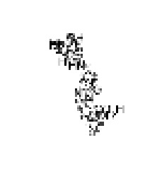 O=C(c1cncc(-c2cccc([C@](O)(C(=O)O)c3ccccc3)c2)n1)N1CCC(CNC[C@H](O)c2ccc(O)c3[nH]c(=O)ccc23)CC1